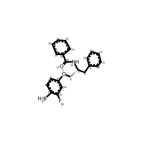 Bc1ccc(OC[C@@H](Cc2ccccc2)NC(=O)c2ccccc2)cc1F